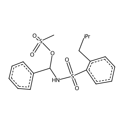 CC(C)Cc1ccccc1S(=O)(=O)NC(OS(C)(=O)=O)c1ccccc1